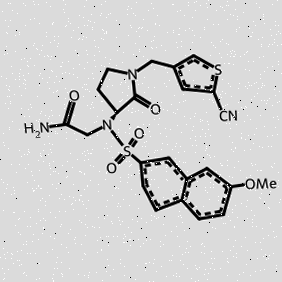 COc1ccc2ccc(S(=O)(=O)N(CC(N)=O)[C@H]3CCN(Cc4csc(C#N)c4)C3=O)cc2c1